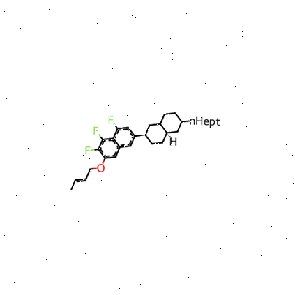 C/C=C/COc1cc2cc([C@@H]3CC[C@@H]4CC(CCCCCCC)CCC4C3)cc(F)c2c(F)c1F